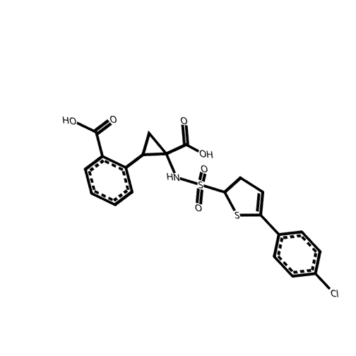 O=C(O)c1ccccc1C1CC1(NS(=O)(=O)C1CC=C(c2ccc(Cl)cc2)S1)C(=O)O